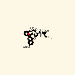 C=C[C@H]1C[C@]1(NC(=O)[C@@H]1C[C@@H](Oc2cc(-c3ccccc3)nc3cc(OC)ccc23)CN1C(=O)[C@H](C)N1CCCCC1)C(=O)O